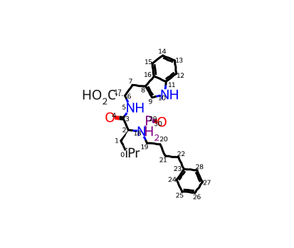 CC(C)C[C@@H](C(=O)N[C@@H](Cc1c[nH]c2ccccc12)C(=O)O)N(CCCCc1ccccc1)[PH2]=O